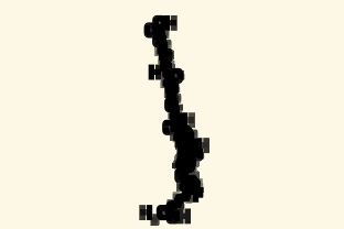 CC(O)CCCCc1cc(Oc2ccc(S(=O)(=O)Nc3ccc(C(=O)NCCOCCOCC(=O)NCCOCCOCC(=O)O)cn3)cc2)ccc1F